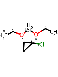 CCO[SiH2]OCC.ClC1CC1